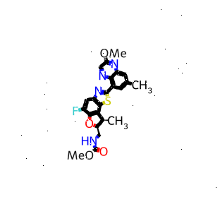 COC(=O)NC[C@H]1Oc2c(F)cc3nc(-c4cc(C)cc5nc(OC)cnc45)sc3c2[C@@H]1C